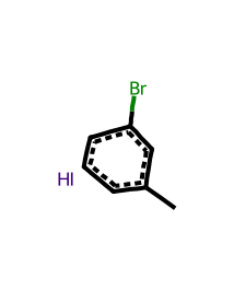 Cc1cccc(Br)c1.I